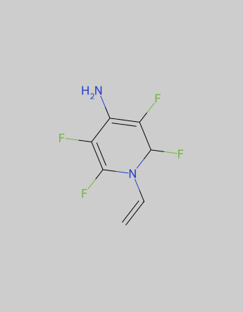 C=CN1C(F)=C(F)C(N)=C(F)C1F